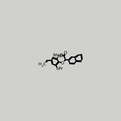 C=Cc1cc(CCC)c(OC(C(=O)OC)c2ccc3ccccc3c2)c(CCC)c1